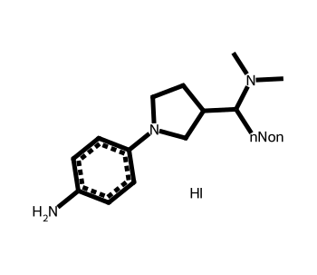 CCCCCCCCCC(C1CCN(c2ccc(N)cc2)C1)N(C)C.I